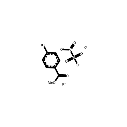 COC(=O)c1ccc(O)cc1.O=S([O-])S(=O)(=O)[O-].[K+].[K+]